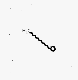 CCCCCCCCCCCCCCC1[CH]CCCC1